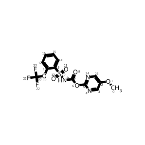 COc1cnc(OC(=O)NS(=O)(=O)c2ccccc2OC(F)(F)F)nc1